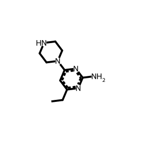 CCc1cc(N2CCNCC2)nc(N)n1